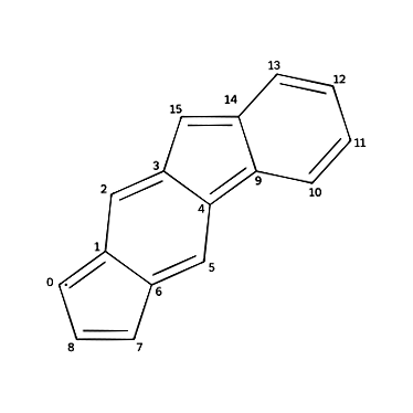 [C]1=c2cc3c(cc2C=C1)=c1ccccc1=C3